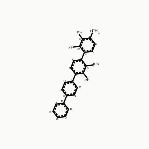 Cc1ccc(-c2ccc(-c3ccc(-c4ccccc4)cc3)c(F)c2F)c(F)c1F